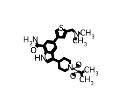 CC(C)S(=O)(=O)N1CCC(c2c[nH]c3c(C(N)=O)cc(-c4csc(CN(C)C)c4)cc23)CC1